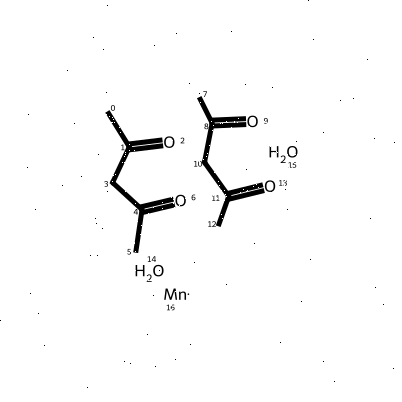 CC(=O)CC(C)=O.CC(=O)CC(C)=O.O.O.[Mn]